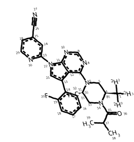 [2H]C([2H])([2H])[C@@H]1CN(c2ncnc3c2c(-c2ccccc2F)cn3-c2cc(C#N)ccn2)[C@@H](C)CN1C(=O)C(C)C